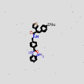 CSc1ccc(/C=C(/C(=O)NCc2ccc(C(=O)Nc3ccccc3N)cc2)c2ccsc2)cc1